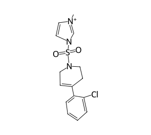 C[n+]1ccn(S(=O)(=O)N2CC=C(c3ccccc3Cl)CC2)c1